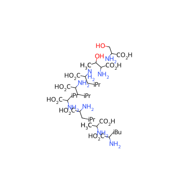 CC(C)C(N)C(=O)O.CC(C)CC(N)C(=O)O.CC(C)CC(N)C(=O)O.CC(C)CC(N)C(=O)O.CC(N)C(=O)O.CC(O)C(N)C(=O)O.CCC(C)C(N)C(=O)O.NC(CO)C(=O)O